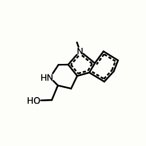 Cn1c2c(c3ccccc31)CC(CO)NC2